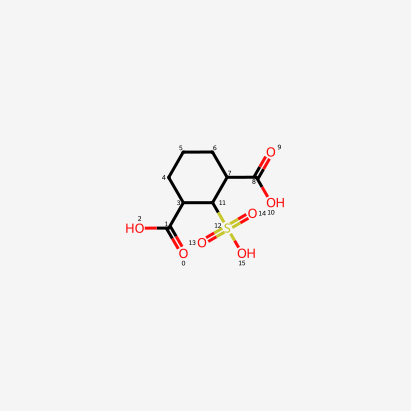 O=C(O)C1CCCC(C(=O)O)C1S(=O)(=O)O